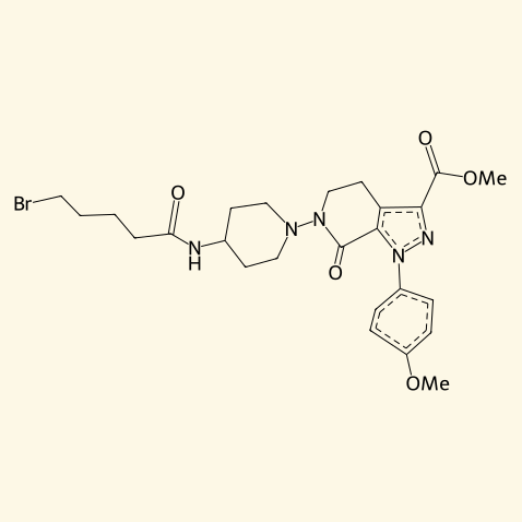 COC(=O)c1nn(-c2ccc(OC)cc2)c2c1CCN(N1CCC(NC(=O)CCCCBr)CC1)C2=O